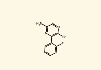 Nc1nnc(Br)c(-c2ccccc2F)n1